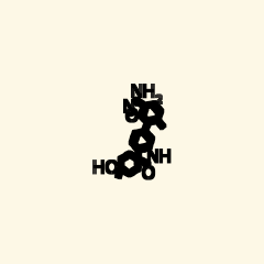 Cc1ccc2c(N)noc2c1-c1ccc2c(c1)NC(=O)C21CCC(C)(O)CC1